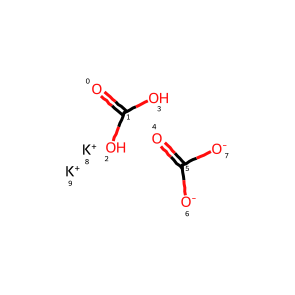 O=C(O)O.O=C([O-])[O-].[K+].[K+]